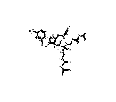 CC(C)OC(=O)OCOP(=O)(OCOC(=O)OC(C)C)OC[C@@]1(CN=[N+]=[N-])O[C@@H](N2C=CC(N)NC2=O)[C@H](F)[C@@H]1O